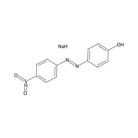 O=[SH](=O)c1ccc(/N=N/c2ccc(O)cc2)cc1.[NaH]